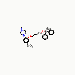 CN1CCN(c2ccc([N+](=O)[O-])cc2OCCCCCO[Si](c2ccccc2)(c2ccccc2)C(C)(C)C)CC1